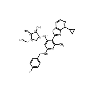 Cc1nc(NCc2ccc(F)cc2)nc(N[C@@H]2C[C@H](CO)[C@@H](O)[C@H]2O)c1-c1nc2c(C3CC3)nccc2s1